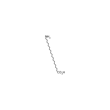 NCCCCCCCCCCCCCCCCCCCC(=O)O